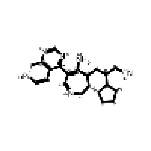 CCC/C=C\c1c(C)ncnc1C1=C(N)C(CC(CC#N)C2CCCC2)CCN=C1